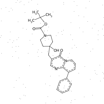 CC(C)(C)OC(=O)N1CCC(O)(Cc2cnc3c(-c4ccccc4)cccn3c2=O)CC1